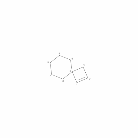 C1=CC2(C1)CCCCC2